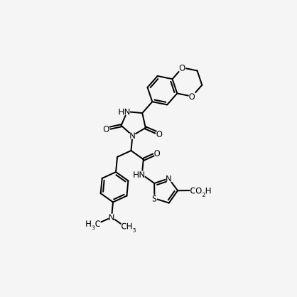 CN(C)c1ccc(CC(C(=O)Nc2nc(C(=O)O)cs2)N2C(=O)NC(c3ccc4c(c3)OCCO4)C2=O)cc1